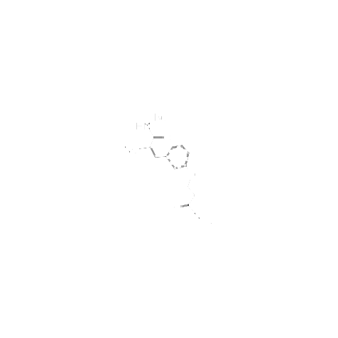 CC(C)(C)NC(=O)C(C#N)=Cc1cccc(OCCC(N)=O)c1